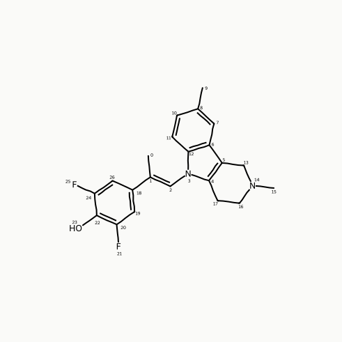 CC(=Cn1c2c(c3cc(C)ccc31)CN(C)CC2)c1cc(F)c(O)c(F)c1